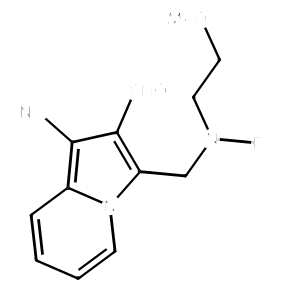 CCN(CCOC)Cc1c(C=O)c(C#N)c2ccccn12